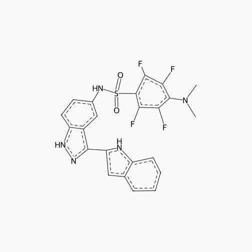 CN(C)c1c(F)c(F)c(S(=O)(=O)Nc2ccc3[nH]nc(-c4cc5ccccc5[nH]4)c3c2)c(F)c1F